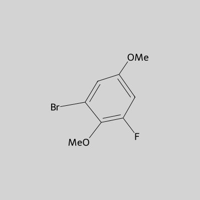 COc1cc(F)c(OC)c(Br)c1